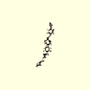 N#Cc1ccc(CCC2CCC([C@H]3CC[C@H](/C=C/CCCCCF)CC3)CC2)cc1